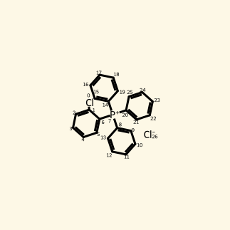 Clc1ccccc1[P+](c1ccccc1)(c1ccccc1)c1ccccc1.[Cl-]